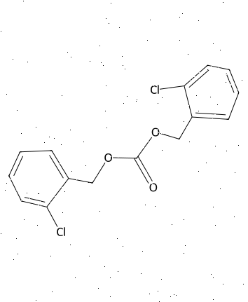 O=C(OCc1ccccc1Cl)OCc1ccccc1Cl